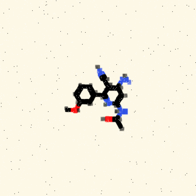 COc1cccc(-c2nc(NC(C)=O)cc(N)c2C#N)c1